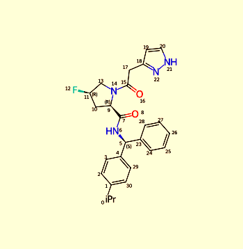 CC(C)c1ccc([C@@H](NC(=O)[C@H]2C[C@@H](F)CN2C(=O)Cc2cc[nH]n2)c2ccccc2)cc1